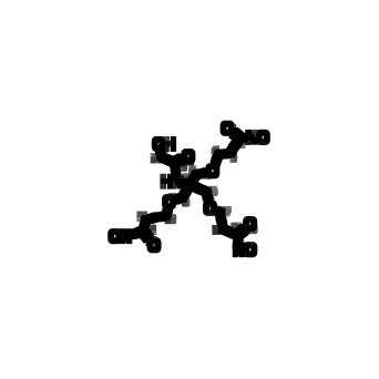 O=NC(=O)CCOCC(COCCC(=O)N=O)(COCCC(=O)N=O)NC(=O)CO